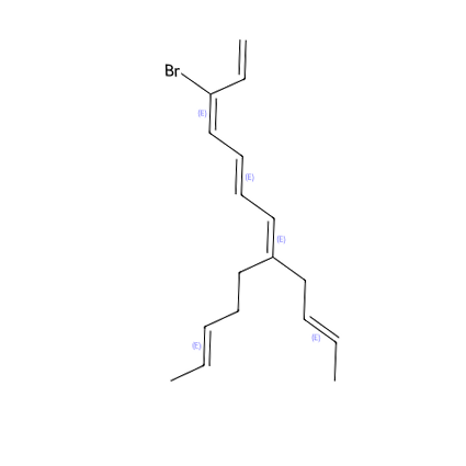 C=C\C(Br)=C/C=C/C=C(/C/C=C/C)CC/C=C/C